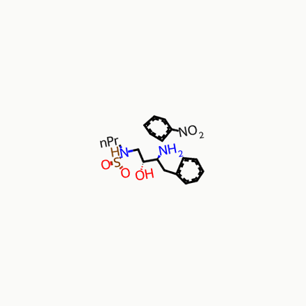 CCCN(C[C@@H](O)[C@@H](N)Cc1ccccc1)[SH](=O)=O.O=[N+]([O-])c1ccccc1